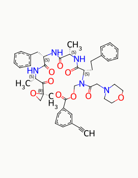 C#Cc1cccc(C(=O)OCN(C(=O)CN2CCOCC2)[C@@H](CCc2ccccc2)C(=O)N[C@@H](C)C(=O)N[C@@H](Cc2ccccc2)C(=O)N[C@@H](C)C(=O)[C@@]2(C)CO2)c1